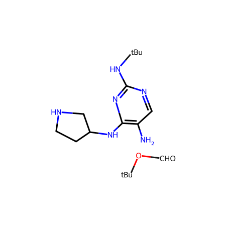 CC(C)(C)Nc1ncc(N)c(NC2CCNC2)n1.CC(C)(C)OC=O